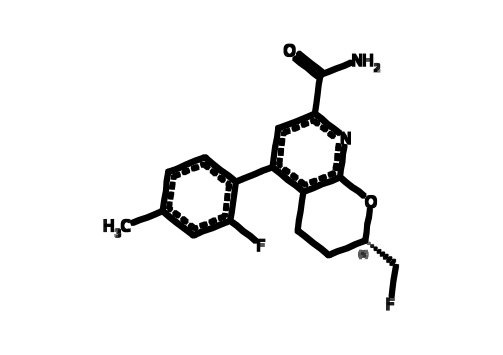 Cc1ccc(-c2cc(C(N)=O)nc3c2CC[C@@H](CF)O3)c(F)c1